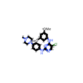 COc1cc(Nc2nc(Nc3ccc(N4CCN(C)CC4)cc3)ncc2Cl)cc(OC)c1